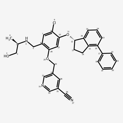 C[C@H](CO)NCc1cc(Cl)c(O[C@H]2CCc3c(-c4ccccc4)cccc32)cc1OCc1cncc(C#N)c1